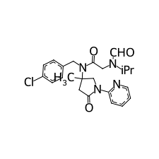 CC(C)N(C=O)CC(=O)N(Cc1ccc(Cl)cc1)C1(C)CC(=O)N(c2ccccn2)C1